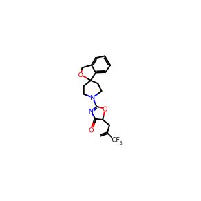 C=C(CC1OC(N2CCC3(CC2)OCc2ccccc23)=NC1=O)C(F)(F)F